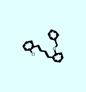 Clc1ccccc1C=CC=Cc1ccccc1OCc1ccccc1